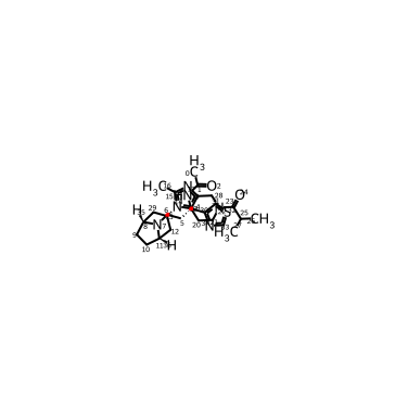 CC(=O)N[C@@H](CCN1[C@@H]2CC[C@H]1C[C@@H](n1c(C)nc3c1CCN(C(=O)C(C)C)C3)C2)c1cscn1